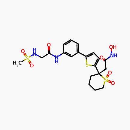 CS(=O)(=O)NCC(=O)Nc1cccc(-c2ccc([C@@]3(CC(=O)NO)CCCCS3(=O)=O)s2)c1